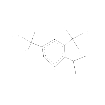 CCC([O])c1ccc(C(Cl)(Cl)C(Cl)(Cl)Cl)cc1C(Cl)(Cl)C(Cl)(Cl)Cl